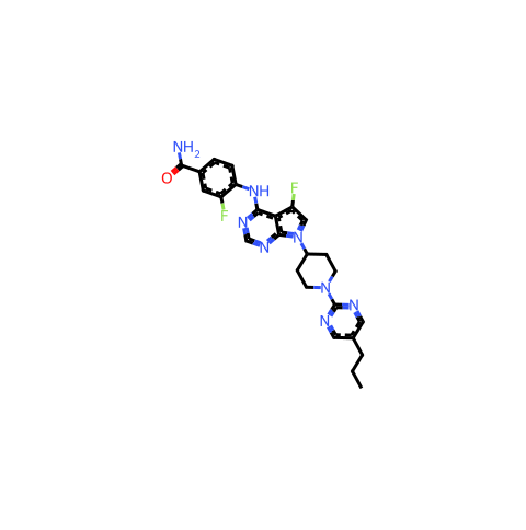 CCCc1cnc(N2CCC(n3cc(F)c4c(Nc5ccc(C(N)=O)cc5F)ncnc43)CC2)nc1